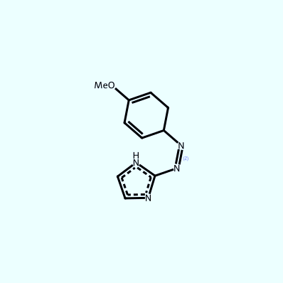 COC1=CCC(/N=N\c2ncc[nH]2)C=C1